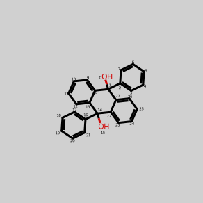 OC1(c2ccccc2)c2ccccc2C(O)(c2ccccc2)c2ccccc21